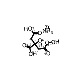 N.O=C(O)CC(O)(CC(=O)OO)C(=O)O.[Zr]